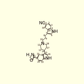 N#Cc1ccc2[nH]cc(CCCN3CCC(c4c[nH]c5ccc(C(N)=O)cc45)CC3)c2c1